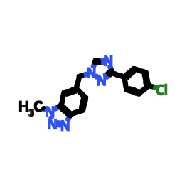 Cn1nnc2ccc(Cn3cnc(-c4ccc(Cl)cc4)n3)cc21